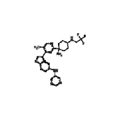 Cc1cnc(C2(N)CCC(NCC(F)(F)F)CC2)nc1-c1cnc2ccc(Nc3cncnc3)cn12